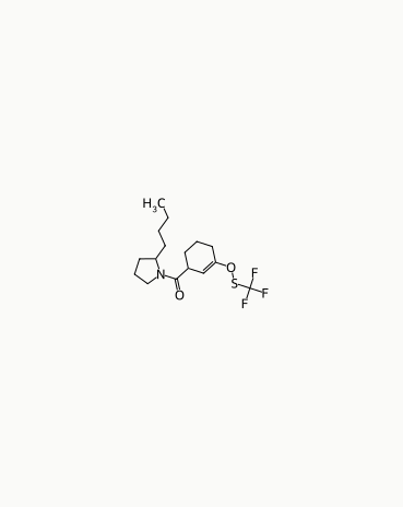 CCCCC1CCCN1C(=O)C1C=C(OSC(F)(F)F)CCC1